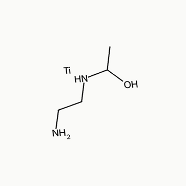 CC(O)NCCN.[Ti]